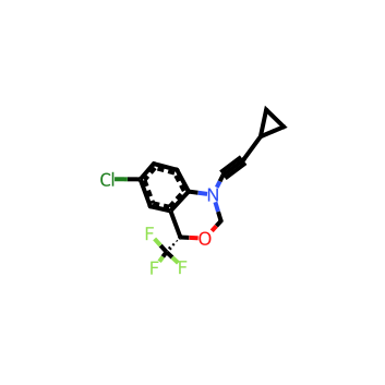 FC(F)(F)[C@H]1OCN(C#CC2CC2)c2ccc(Cl)cc21